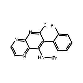 CC(C)Nc1c(-c2ccccc2Br)c(Cl)nc2nccnc12